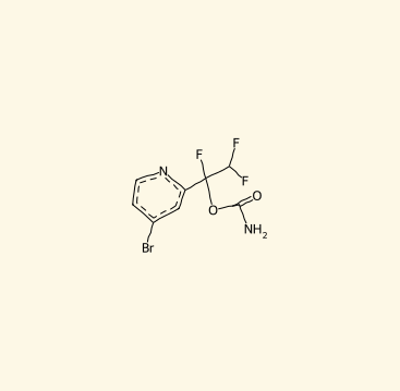 NC(=O)OC(F)(c1cc(Br)ccn1)C(F)F